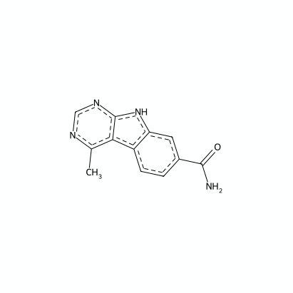 Cc1ncnc2[nH]c3cc(C(N)=O)ccc3c12